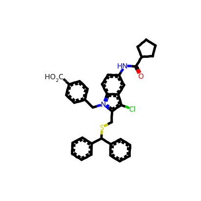 O=C(O)c1ccc(Cn2c(CSC(c3ccccc3)c3ccccc3)c(Cl)c3cc(NC(=O)C4CCCC4)ccc32)cc1